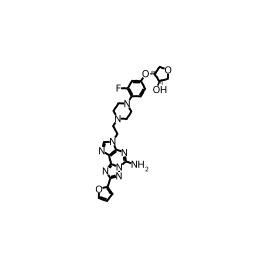 Nc1nc2c(ncn2CCN2CCN(c3ccc(O[C@@H]4COC[C@H]4O)cc3F)CC2)c2nc(-c3ccco3)nn12